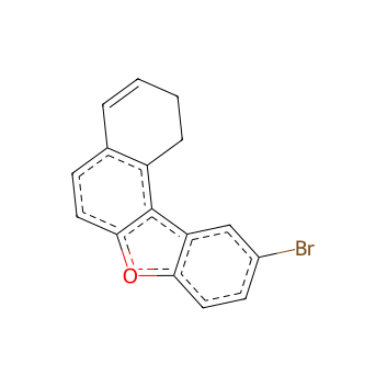 Brc1ccc2oc3ccc4c(c3c2c1)CCC=C4